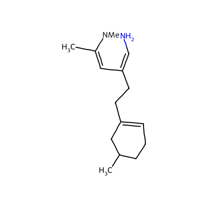 CN/C(C)=C\C(=C/N)CCC1=CCCC(C)C1